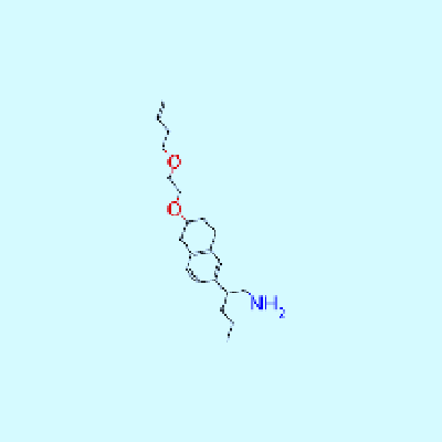 C=CCCOCCOC1CCc2cc(C(CN)CCC)ccc2C1